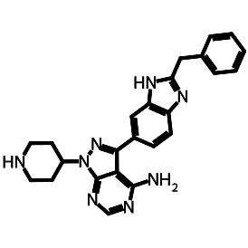 Nc1ncnc2c1c(-c1ccc3nc(Cc4ccccc4)[nH]c3c1)nn2C1CCNCC1